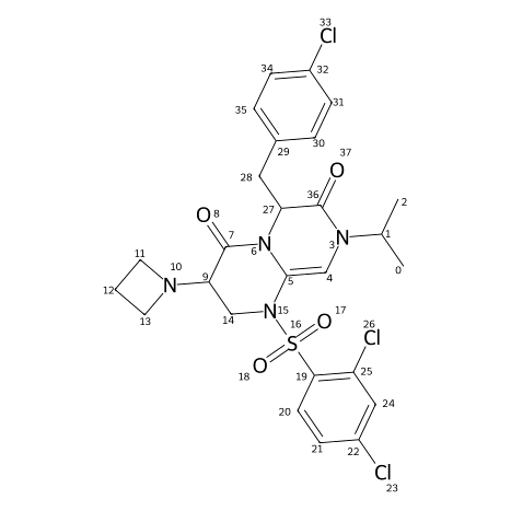 CC(C)N1C=C2N(C(=O)C(N3CCC3)CN2S(=O)(=O)c2ccc(Cl)cc2Cl)C(Cc2ccc(Cl)cc2)C1=O